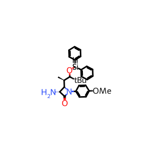 COc1ccc(N2C(=O)[C@H](N)[C@H]2[C@@H](C)C(O[SiH](c2ccccc2)c2ccccc2)C(C)(C)C)cc1